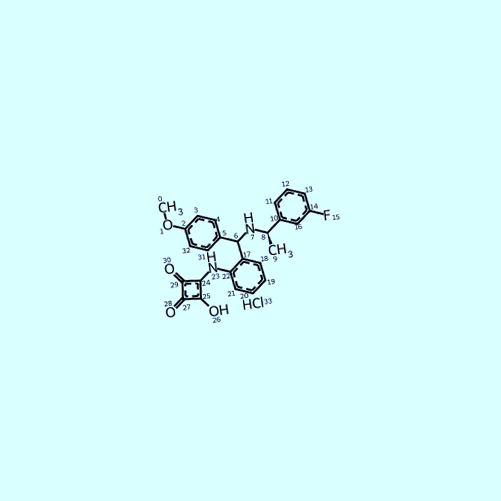 COc1ccc(C(N[C@H](C)c2cccc(F)c2)c2ccccc2Nc2c(O)c(=O)c2=O)cc1.Cl